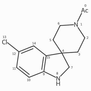 CC(=O)N1CCC2(CC1)CNc1ccc(Cl)cc12